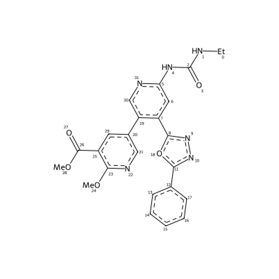 CCNC(=O)Nc1cc(-c2nnc(-c3ccccc3)o2)c(-c2cnc(OC)c(C(=O)OC)c2)cn1